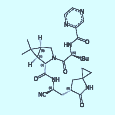 CC(C)(C)[C@H](NC(=O)c1cnccn1)C(=O)N1C[C@H]2[C@@H]([C@H]1C(=O)N[C@H](C#N)C[C@@H]1CC3(CC3)NC1=O)C2(C)C